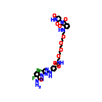 NC(=O)c1c(F)cccc1Nc1nc(Nc2ccc(S(=O)(=O)NCCOCCOCCOCCOCCNc3cccc4c3C(=O)N(C3CCC(=O)NC3=O)C4=O)cc2)ncc1Br